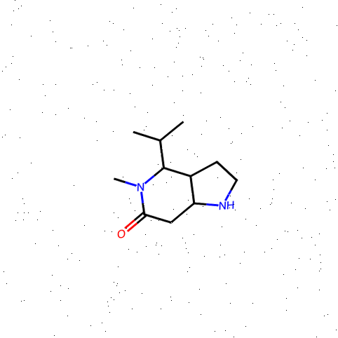 CC(C)C1C2CCNC2CC(=O)N1C